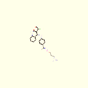 CC(=NOCCCN(C)C)c1ccc(Nc2c3ccccc3nc3occ(Cl)c23)cc1